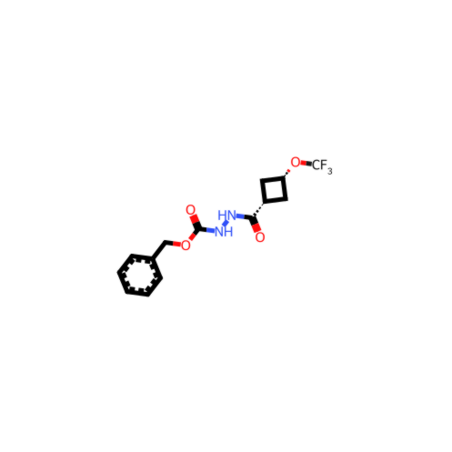 O=C(NNC(=O)[C@H]1C[C@@H](OC(F)(F)F)C1)OCc1ccccc1